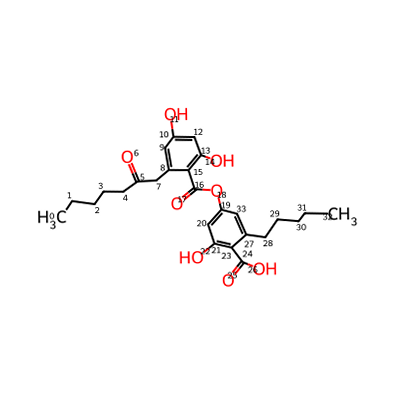 CCCCCC(=O)Cc1cc(O)cc(O)c1C(=O)Oc1cc(O)c(C(=O)O)c(CCCCC)c1